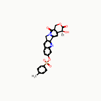 CC[C@@]1(O)C(=O)OCc2c1cc1n(c2=O)Cc2cc3ccc(OS(=O)(=O)c4ccc(C)cc4)cc3nc2-1